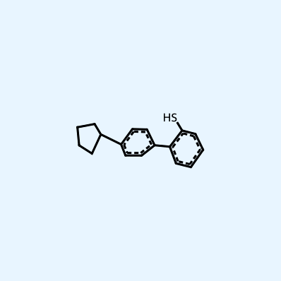 Sc1ccccc1-c1ccc(C2CCCC2)cc1